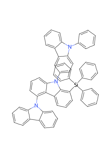 c1ccc(-n2c3ccccc3c3cc(-n4c5cccc(-n6c7ccccc7c7ccccc76)c5c5cccc([Si](c6ccccc6)(c6ccccc6)c6ccccc6)c54)ccc32)cc1